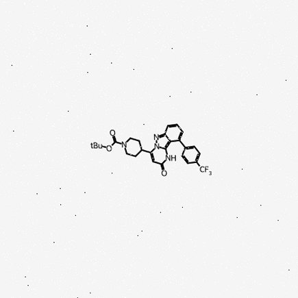 CC(C)(C)OC(=O)N1CCC(c2cc(=O)[nH]c3c4c(-c5ccc(C(F)(F)F)cc5)cccc4nn23)CC1